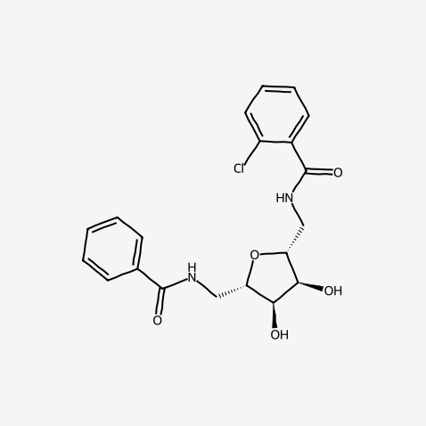 O=C(NC[C@@H]1O[C@H](CNC(=O)c2ccccc2Cl)[C@@H](O)[C@H]1O)c1ccccc1